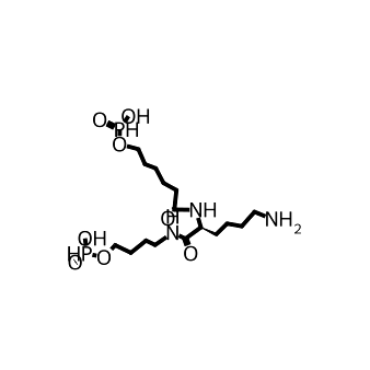 NCCCC[C@H](NC(=O)CCCCCO[PH](=O)O)C(=O)NCCCCO[PH](=O)O